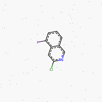 Clc1cc2c(I)cccc2cn1